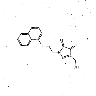 O=C1C(=O)N(CCOc2cccc3ccccc23)N=C1CO